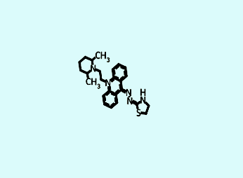 CC1CCCC(C)N1CCn1c2ccccc2c(=NN=C2NCCS2)c2ccccc21